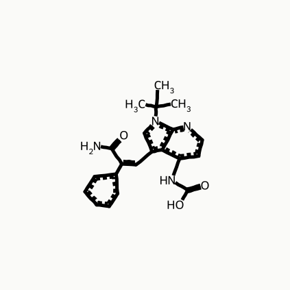 CC(C)(C)n1cc(C=C(C(N)=O)c2ccccc2)c2c(NC(=O)O)ccnc21